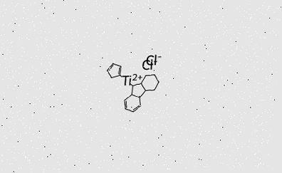 C1=CC[C]([Ti+2][CH]2C3C=CC=CC3C3CCCCC32)=C1.[Cl-].[Cl-]